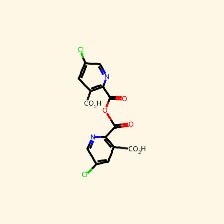 O=C(O)c1cc(Cl)cnc1C(=O)OC(=O)c1ncc(Cl)cc1C(=O)O